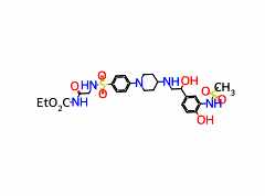 CCOC(=O)NC(=O)CNS(=O)(=O)c1ccc(N2CCC(NC[C@@H](O)c3ccc(O)c(NS(C)(=O)=O)c3)CC2)cc1